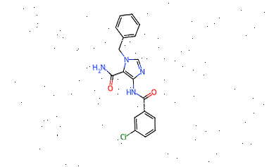 NC(=O)c1c(NC(=O)c2cccc(Cl)c2)ncn1Cc1ccccc1